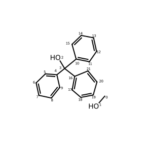 CO.OC(c1ccccc1)(c1ccccc1)c1ccccc1